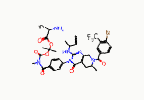 C=CC(C)Nc1nc2c(c(=O)n1-c1ccc(C(=O)N(C)C(=O)OC(C)(C)OC(=O)C(N)C(C)C)cc1)CC(C)N(C(=O)c1ccc(Br)c(C(F)(F)F)c1)C2